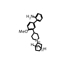 COc1ccc(-c2ccccc2N)cc1C1CCN([C@H]2C[C@H]3CC[C@H]2C3)CC1